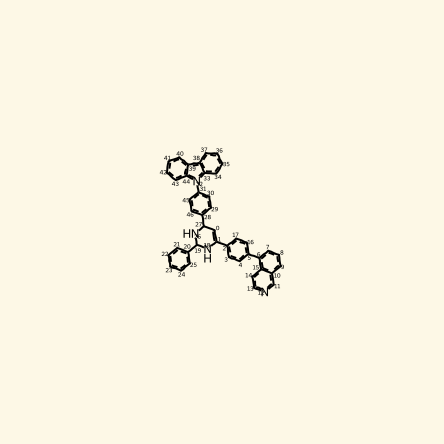 C1=C(c2ccc(-c3cccc4cnccc34)cc2)NC(c2ccccc2)NC1c1ccc(-n2c3ccccc3c3ccccc32)cc1